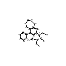 CCOC(=O)c1c(N(CC)CC)nc2c(c1-c1ccccc1)CCCCC2